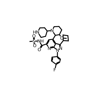 COC1CCCN(C2CCNCC2)C1c1cc(C(=O)NS(C)(=O)=O)nc2c1c(C1CCC1)nn2-c1ccc(F)cc1